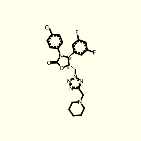 O=C1O[C@@H](Cn2nnc(CN3CCCCC3)n2)[C@H](c2cc(F)cc(F)c2)N1c1ccc(Cl)cc1